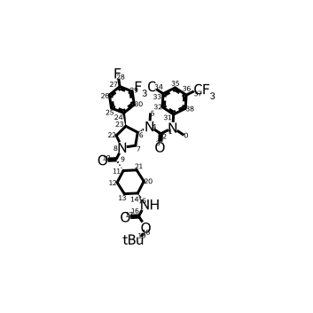 CN(C(=O)N(C)[C@@H]1CN(C(=O)[C@H]2CC[C@@H](NC(=O)OC(C)(C)C)CC2)C[C@H]1c1ccc(F)cc1)c1cc(C(F)(F)F)cc(C(F)(F)F)c1